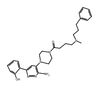 CN(CCCC(=O)N1CCN(c2cc(-c3ccccc3O)nnc2N)CC1)CCCc1ccccc1